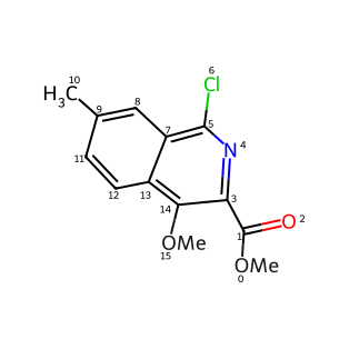 COC(=O)c1nc(Cl)c2cc(C)ccc2c1OC